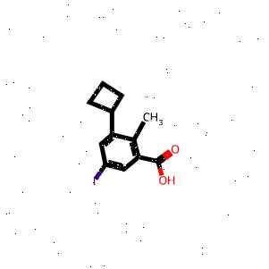 Cc1c(C(=O)O)cc(I)cc1C1CCC1